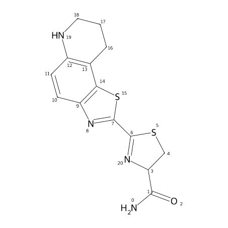 NC(=O)C1CSC(c2nc3ccc4c(c3s2)CCCN4)=N1